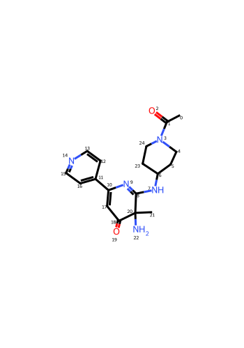 CC(=O)N1CCC(NC2=NC(c3ccncc3)=CC(=O)C2(C)N)CC1